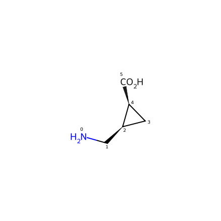 NC[C@@H]1C[C@@H]1C(=O)O